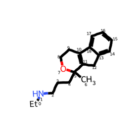 CCNCCCC1(C)OCCC2=C1Cc1ccccc12